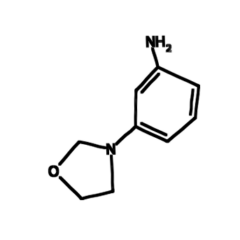 Nc1cccc(N2CCOC2)c1